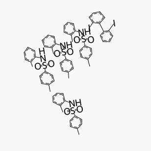 Cc1ccc(S(=O)(=O)Nc2ccccc2C)cc1.Cc1ccc(S(=O)(=O)Nc2ccccc2C)cc1.Cc1ccc(S(=O)(=O)Nc2ccccc2C)cc1.Cc1ccc(S(=O)(=O)Nc2ccccc2C)cc1.Ic1ccccc1-c1ccccc1I